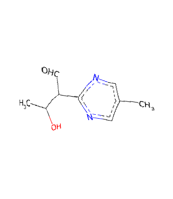 Cc1cnc(C(C=O)C(C)O)nc1